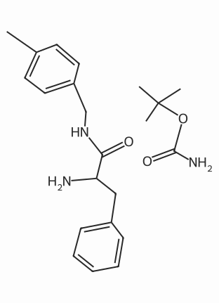 CC(C)(C)OC(N)=O.Cc1ccc(CNC(=O)C(N)Cc2ccccc2)cc1